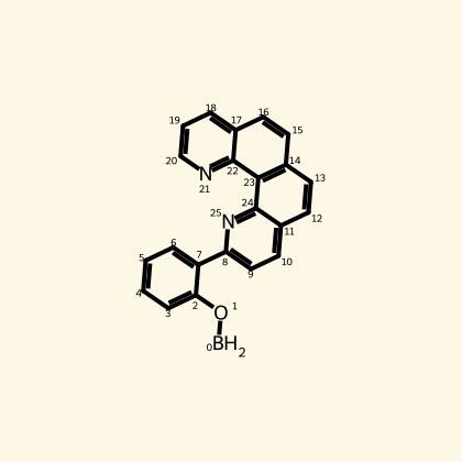 BOc1ccccc1-c1ccc2ccc3ccc4cccnc4c3c2n1